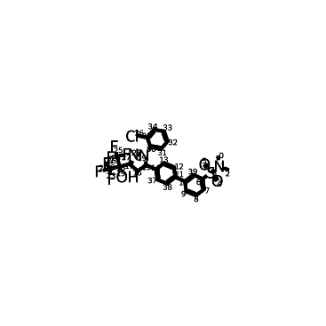 CN(C)S(=O)(=O)c1cccc(-c2ccc(C3CC(C(O)(C(F)(F)F)C(F)(F)F)=NN3c3ccccc3Cl)cc2)c1